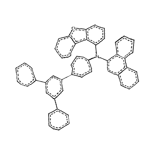 c1ccc(-c2cc(-c3ccccc3)cc(-c3ccc(N(c4cc5ccccc5c5ccccc45)c4cccc5oc6ccccc6c45)cc3)c2)cc1